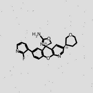 NC1=N[C@@]2(CO1)c1cc(-c3cccnc3F)ccc1Oc1ncc([C@@H]3CCCOC3)cc12